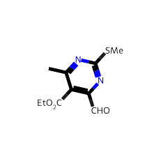 CCOC(=O)c1c(C)nc(SC)nc1C=O